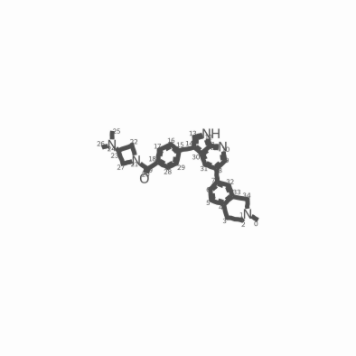 CN1CCc2ccc(-c3cnc4[nH]cc(-c5ccc(C(=O)N6CC(N(C)C)C6)cc5)c4c3)cc2C1